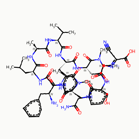 CC(C)C[C@H](NC(=O)CNC(=O)[C@H](Cc1ccccc1)N(C)C(=O)[C@H](C)NC(=O)[C@@H](N)Cc1ccccc1)C(=O)N[C@@H](C)C(=O)N[C@H](C(=O)N[C@@H](Cc1ccccc1)C(=O)N[C@@H](CC(=O)O/N=C(\C#N)C(=O)O)C(=O)N(C)[C@@H](C)C(=O)N[C@@H](CO)C(=O)NCC(N)=O)C(C)C